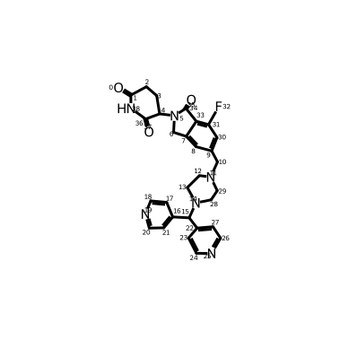 O=C1CCC(N2Cc3cc(CN4CCN(C(c5ccncc5)c5ccncc5)CC4)cc(F)c3C2=O)C(=O)N1